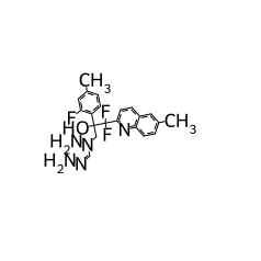 Cc1ccc(C(O)(CN(N)/C=N\N)C(F)(F)c2ccc3cc(C)ccc3n2)c(F)c1